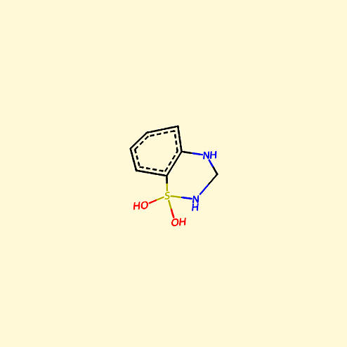 OS1(O)NCNc2ccccc21